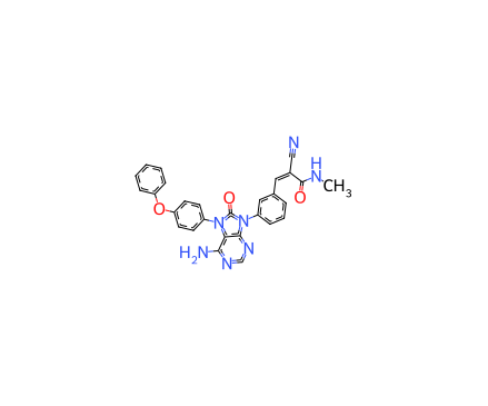 CNC(=O)C(C#N)=Cc1cccc(-n2c(=O)n(-c3ccc(Oc4ccccc4)cc3)c3c(N)ncnc32)c1